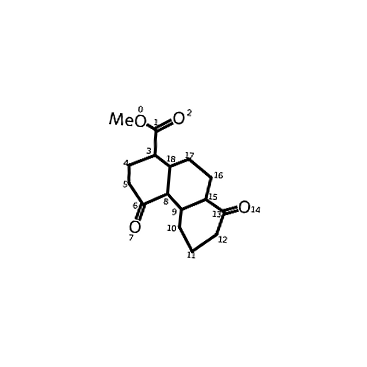 COC(=O)C1CCC(=O)C2C3CCCC(=O)C3CCC12